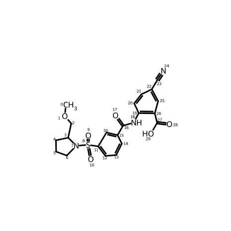 COCC1CCCN1S(=O)(=O)c1cccc(C(=O)Nc2ccc(C#N)cc2C(=O)O)c1